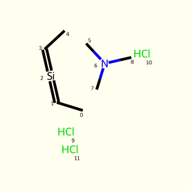 CC=[Si]=CC.CN(C)C.Cl.Cl.Cl